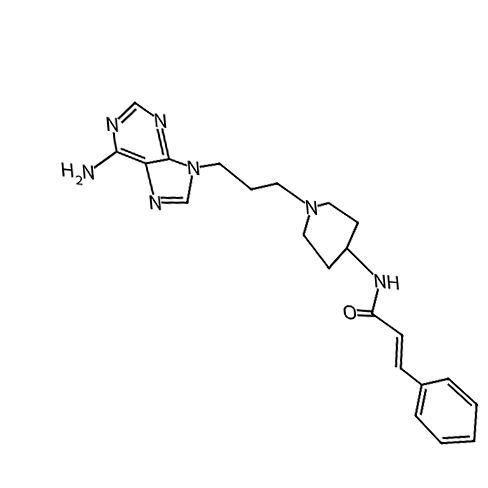 Nc1ncnc2c1ncn2CCCN1CCC(NC(=O)C=Cc2ccccc2)CC1